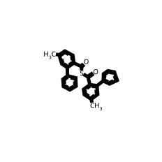 Cc1ccc(C(=O)SC(=O)c2ccc(C)cc2-c2ccccc2)c(-c2ccccc2)c1